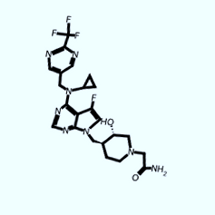 NC(=O)CN1CC[C@@H](Cn2cc(F)c3c(N(Cc4cnc(C(F)(F)F)nc4)C4CC4)ncnc32)[C@H](O)C1